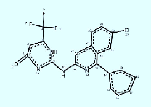 O=c1cc(C(F)(F)F)[nH]c(Nc2nc(-c3ccccc3)c3cc(Cl)ccc3n2)n1